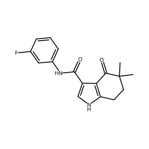 CC1(C)CCc2[nH]cc(C(=O)Nc3cccc(F)c3)c2C1=O